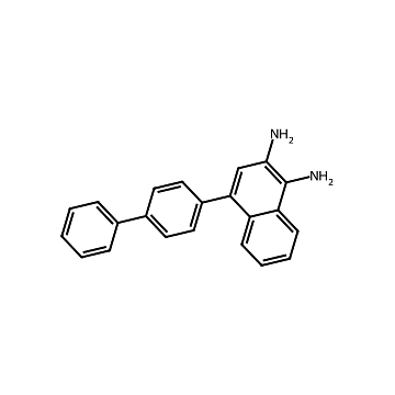 Nc1cc(-c2ccc(-c3ccccc3)cc2)c2ccccc2c1N